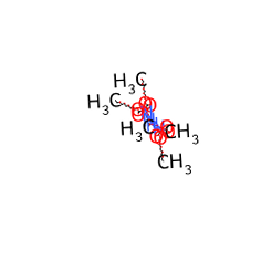 CCCCCCCCCCOC(=O)CCN(CCC(=O)OCCCCCCCCCC)CCN1CCN(CCN(CCC(=O)OC)CCC(=O)OCCCCCCCCCC)[C@@H](C)C1